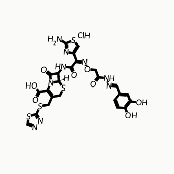 Cl.Nc1nc(/C(=N/OCC(=O)N/N=C/c2ccc(O)c(O)c2)C(=O)NC2C(=O)N3C(C(=O)O)=C(CSc4nncs4)CS[C@H]23)cs1